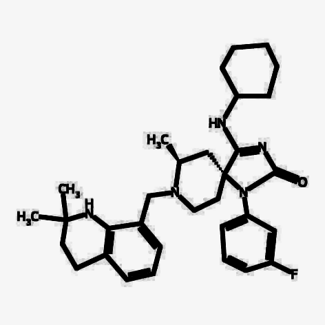 C[C@H]1C[C@]2(CCN1Cc1cccc3c1NC(C)(C)CC3)C(NC1CCCCC1)=NC(=O)N2c1cccc(F)c1